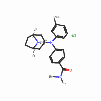 CCN(CC)C(=O)c1ccc(N(c2cccc(SC)c2)[C@H]2C[C@H]3CC[C@@H](C2)N3C)cc1.Cl